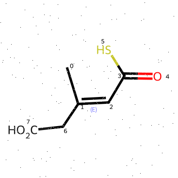 C/C(=C\C(=O)S)CC(=O)O